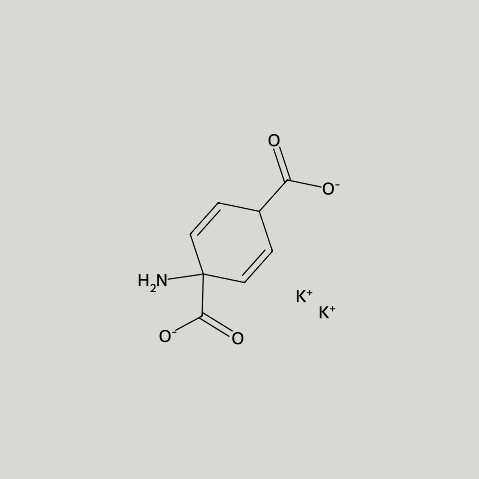 NC1(C(=O)[O-])C=CC(C(=O)[O-])C=C1.[K+].[K+]